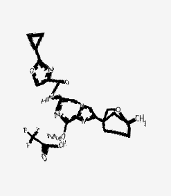 COc1nc(NC(=O)c2coc(C3CC3)n2)cn2cc(C34CCC(C)(C3)OC4)nc12.O=C(O)C(F)(F)F